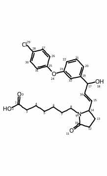 O=C(O)CCCCCCN1C(=O)CCC1C=CC(O)c1cccc(Oc2ccc(Cl)cc2)c1